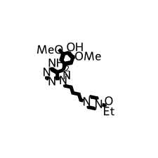 CCC(=O)N1CCN(CCCCCn2nc(-c3cc(OC)c(O)c(OC)c3)c3c(N)ncnc32)CC1